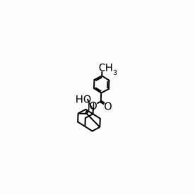 Cc1ccc(C(=O)OC23CC4CC(C2)C(=NO)C(C4)C3)cc1